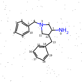 NC1CN(Cc2ccccc2)CC1Cc1ccccc1